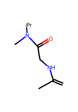 C=C(C)NCC(=O)N(C)C(C)C